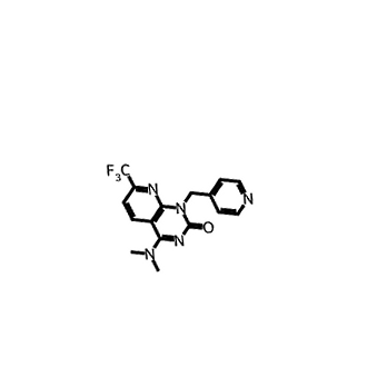 CN(C)c1nc(=O)n(Cc2ccncc2)c2nc(C(F)(F)F)ccc12